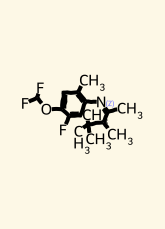 C/C(=N/c1cc(F)c(OC(F)F)cc1C)C(C)C(C)(C)C